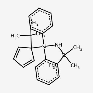 CC(C)(C)C1([Si](N[Si](C)(C)C)(c2ccccc2)c2ccccc2)C=CC=C1